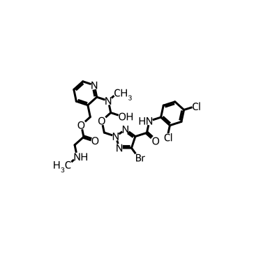 CNCC(=O)OCc1cccnc1N(C)C(O)OCn1nc(Br)c(C(=O)Nc2ccc(Cl)cc2Cl)n1